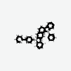 c1ccc(-n2c3ccccc3c3ccc4cc5c(cc4c32)c2ccccc2n5-c2ccc(-c3ccccn3)nc2)cc1